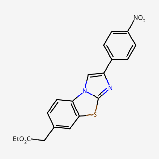 CCOC(=O)Cc1ccc2c(c1)sc1nc(-c3ccc([N+](=O)[O-])cc3)cn12